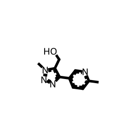 Cc1ccc(-c2nnn(C)c2CO)cn1